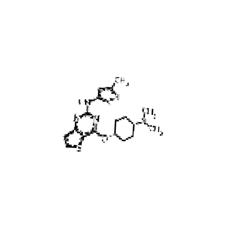 Cc1cc(Nc2nc(O[C@H]3CC[C@H](N(C)C)CC3)c3sccc3n2)sn1